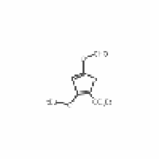 CCOC(=O)c1sc(OC=O)cc1OC(C)(C)C